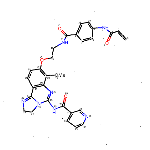 C=CC(=O)Nc1ccc(C(=O)NCCOc2ccc3c(c2OC)N=C(NC(=O)c2cccnc2)N2CCN=C32)cc1